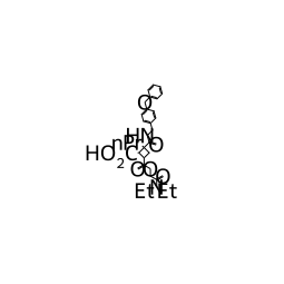 CCCC1(C(=O)NCc2ccc(Oc3ccccc3)cc2)CC(C(=O)OCC(=O)N(CC)CC)C1C(=O)O